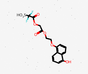 O=C(COC(=O)C(F)(F)S(=O)(=O)O)OCCOc1cccc2c(O)cccc12